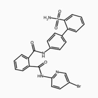 NS(=O)(=O)c1ccccc1-c1ccc(NC(=O)c2ccccc2C(=O)Nc2ccc(Br)cn2)cc1